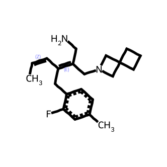 C/C=C\C(Cc1ccc(C)cc1F)=C(/CN)CN1CC2(CCC2)C1